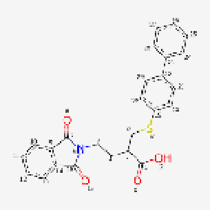 O=C(O)C(CCN1C(=O)c2ccccc2C1=O)CSc1ccc(-c2ccccc2)cc1